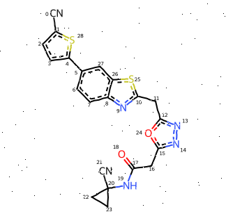 N#Cc1ccc(-c2ccc3nc(Cc4nnc(CC(=O)NC5(C#N)CC5)o4)sc3c2)s1